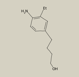 CCc1cc(CCCCO)ccc1N